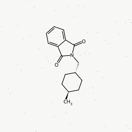 C[C@H]1CC[C@H](CN2C(=O)c3ccccc3C2=O)CC1